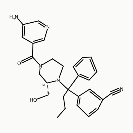 CCCC(c1ccccc1)(c1cccc(C#N)c1)N1CCN(C(=O)c2cncc(N)c2)C[C@H]1CO